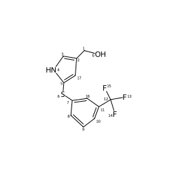 OCc1c[nH]c(Sc2cccc(C(F)(F)F)c2)c1